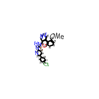 COc1ccccc1-c1cnncc1C(=O)Nc1nc2ncc(-c3ccc(Cl)cc3)cc2s1